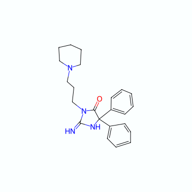 N=C1NC(c2ccccc2)(c2ccccc2)C(=O)N1CCCN1CCCCC1